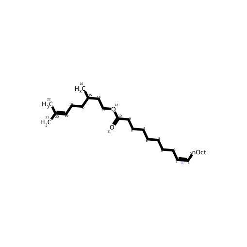 CCCCCCCC/C=C\CCCCCCCC(=O)OCCC(C)CCC=C(C)C